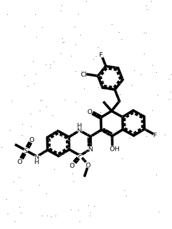 COP1(=O)N=C(C2=C(O)c3cc(F)ccc3C(C)(Cc3ccc(F)c(Cl)c3)C2=O)Nc2ccc(NS(C)(=O)=O)cc21